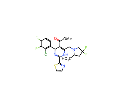 COC(=O)C1=C(CN2CC(F)(F)CC2C(=O)O)NC(c2nccs2)=NC1c1ccc(F)c(F)c1Cl